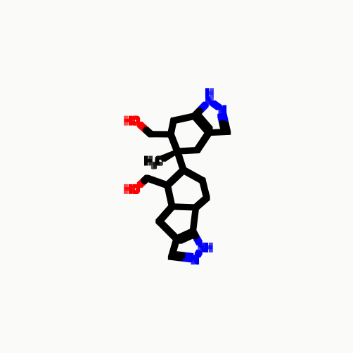 C[C@]1(C2CCC3c4[nH]ncc4CC3C2CO)Cc2cn[nH]c2CC1CO